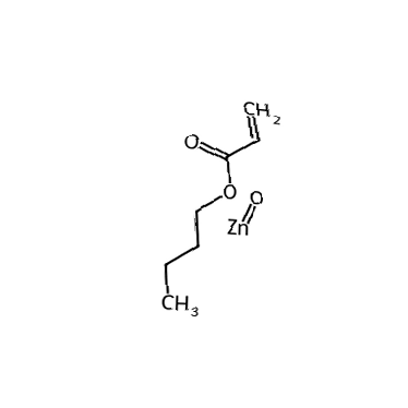 C=CC(=O)OCCCC.[O]=[Zn]